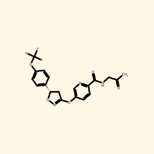 CC(=O)CNC(=O)c1ccc(OC2=NO[C@H](c3ccc(OC(F)(F)F)cc3)C2)cn1